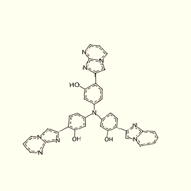 Oc1cc(N(c2ccc(-c3cn4cccnc4n3)c(O)c2)c2ccc(-c3cn4cccnc4n3)c(O)c2)ccc1-c1cn2ccccc2n1